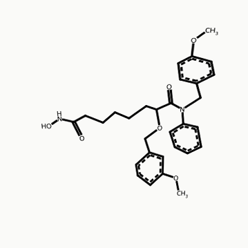 COc1ccc(CN(C(=O)C(CCCCCC(=O)NO)OCc2cccc(OC)c2)c2ccccc2)cc1